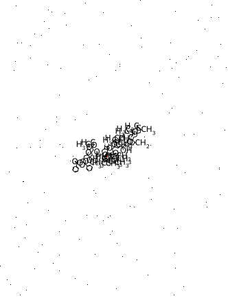 C=C=C(C)CC(CCC1OC(CCC(O)/C=C/C(O[Si](C)(C)C(C)(C)C)C2O[C@H]3CC[C@H](CC(=O)C[C@H]4C(CC(OC)OC)OC(CC(COC(=O)c5ccccc5)OC(=O)c5ccccc5)C4OC)O[C@@H]3C(O[Si](C)(C)C(C)(C)C)C2O[Si](C)(C)C(C)(C)C)CC1=C)O[Si](CC)(CC)CC